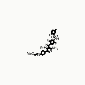 COCCNC1CCC(c2cnc(N)c3c(-c4cc(F)c(NS(=O)(=O)c5cc(C)ccc5F)cc4F)nn(C(C)C)c23)CC1